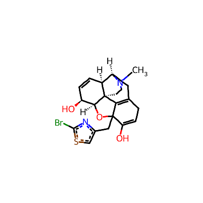 CN1CC[C@]23C4=C5CC=C(O)C4(Cc4csc(Br)n4)O[C@H]2[C@@H](O)C=C[C@H]3[C@H]1C5